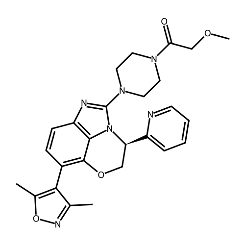 COCC(=O)N1CCN(c2nc3ccc(-c4c(C)noc4C)c4c3n2[C@@H](c2ccccn2)CO4)CC1